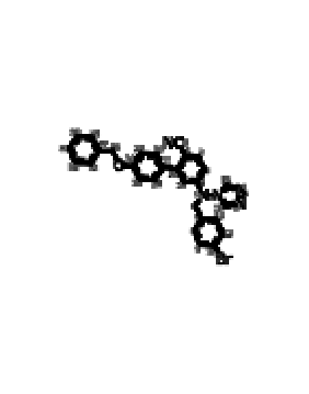 N#Cc1ccc(N(Cc2ccc(Br)cc2)n2cnnc2)cc1-c1ccc(OCc2ccccc2)cc1